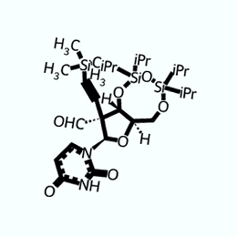 CC(C)[Si]1(C(C)C)OC[C@H]2O[C@@H](n3ccc(=O)[nH]c3=O)[C@](C#C[Si](C)(C)C)(C=O)[C@@H]2O[Si](C(C)C)(C(C)C)O1